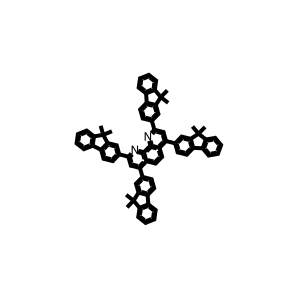 CC1(C)c2ccccc2-c2ccc(-c3cc(-c4ccc5c(c4)C(C)(C)c4ccccc4-5)c4ccc5c(-c6ccc7c(c6)C(C)(C)c6ccccc6-7)cc(-c6ccc7c(c6)C(C)(C)c6ccccc6-7)nc5c4n3)cc21